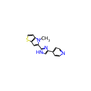 Cn1c(-c2nc(-c3ccncc3)c[nH]2)cc2sccc21